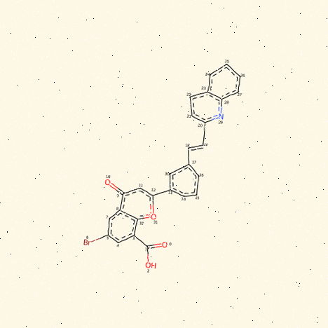 O=C(O)c1cc(Br)cc2c(=O)cc(-c3cccc(/C=C/c4ccc5ccccc5n4)c3)oc12